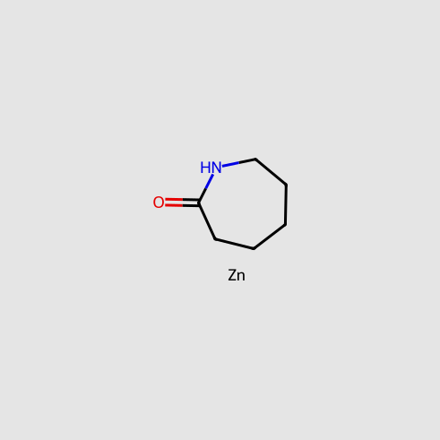 O=C1CCCCCN1.[Zn]